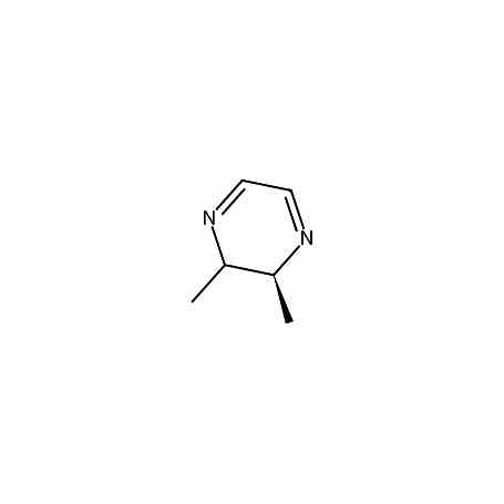 CC1N=CC=N[C@H]1C